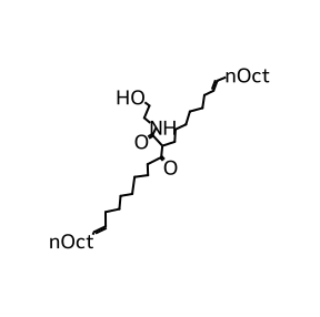 CCCCCCCCC=CCCCCCCCC(=O)C(CCCCCCC=CCCCCCCCC)C(=O)NCCO